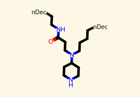 CCCCCCCCCCCCCCN(CCC(=O)NCCCCCCCCCCCC)C1CCNCC1